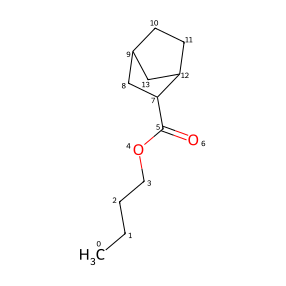 CCCCOC(=O)C1CC2CCC1C2